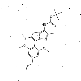 COCc1cc(OC)c(-c2c(SC)sc3c(NC(=O)OC(C)(C)C)c(C)nn23)c(OC)c1